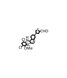 COc1cc(Nc2c(C#N)cnc3cc(-c4csc(C=O)c4)ccc23)c(Cl)cc1Cl